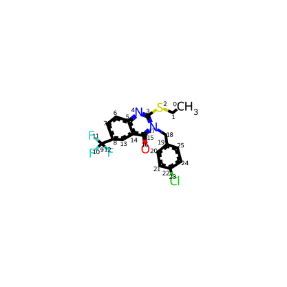 CCSc1nc2ccc(C(F)(F)F)cc2c(=O)n1Cc1ccc(Cl)cc1